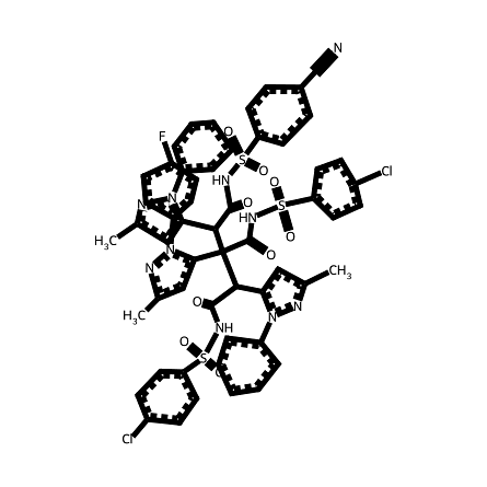 Cc1cc(C(C(=O)NS(=O)(=O)c2ccc(Cl)cc2)C(C(=O)NS(=O)(=O)c2ccc(Cl)cc2)(c2cc(C)nn2-c2ccc(F)cc2)C(C(=O)NS(=O)(=O)c2ccc(C#N)cc2)c2cc(C)nn2-c2ccccc2)n(-c2ccccc2)n1